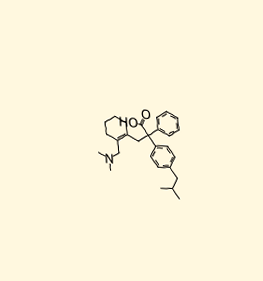 CC(C)Cc1ccc(C(CC2=C(CN(C)C)CCCC2)(C(=O)O)c2ccccc2)cc1